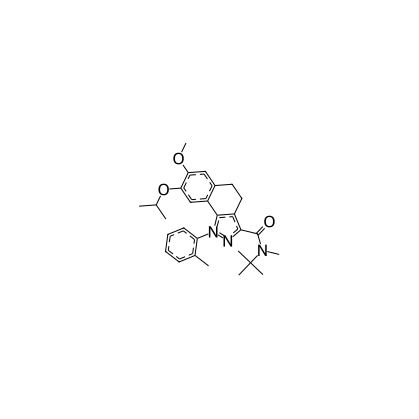 COc1cc2c(cc1OC(C)C)-c1c(c(C(=O)N(C)C(C)(C)C)nn1-c1ccccc1C)CC2